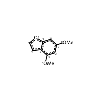 COc1cc(OC)c2c[c]oc2c1